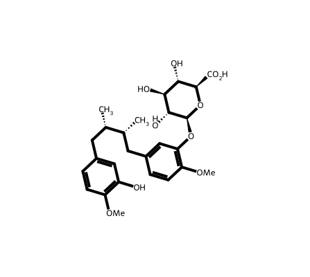 COc1ccc(C[C@H](C)[C@H](C)Cc2ccc(OC)c(O[C@@H]3O[C@H](C(=O)O)[C@@H](O)[C@H](O)[C@H]3O)c2)cc1O